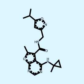 Cc1oc2ncnc(NC3(C)CC3)c2c1C(=O)NCc1cc(C(C)C)on1